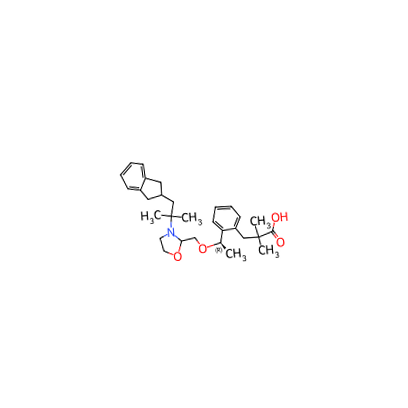 C[C@@H](OCC1OCCN1C(C)(C)CC1Cc2ccccc2C1)c1ccccc1CC(C)(C)C(=O)O